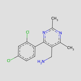 Cc1nc(C)c(CN)c(-c2ccc(Cl)cc2Cl)n1